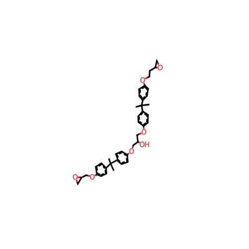 CC(C)(c1ccc(OCCC2CO2)cc1)c1ccc(OCC(O)COc2ccc(C(C)(C)c3ccc(OCC4CO4)cc3)cc2)cc1